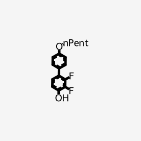 CCCCCOc1ccc(-c2ccc(O)c(F)c2F)cc1